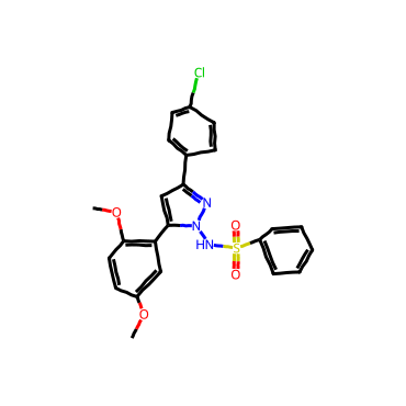 COc1ccc(OC)c(-c2cc(-c3ccc(Cl)cc3)nn2NS(=O)(=O)c2ccccc2)c1